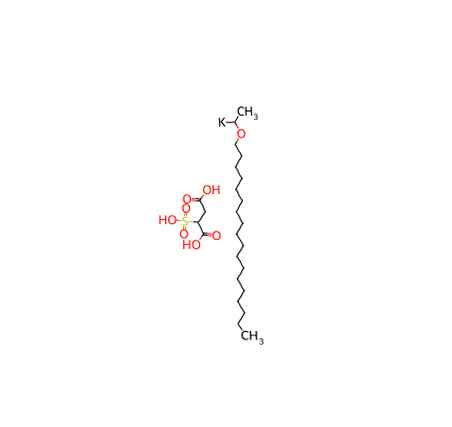 CCCCCCCCCCCCCCCCCCO[CH](C)[K].O=C(O)CC(C(=O)O)S(=O)(=O)O